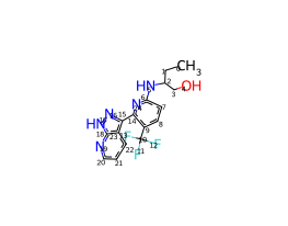 CCC(CO)Nc1ccc(C(F)(F)F)c(-c2n[nH]c3ncccc23)n1